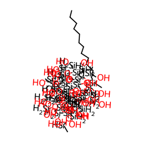 CCCCCCCCCCCC[Si](C)(O)[Si](O[SiH2]O)(O[Si]([Si](O[SiH2]O)([SiH2]O)[SiH2]O)([Si](O[Si](C)(C)O[Si](C)(C)C)(O[Si](O[Si](O[SiH](C)O)([SiH2]O)[SiH2]O)([Si](O[SiH2]O)([SiH2]O)[SiH2]O)[Si](O[SiH2]O)([SiH2]O)[SiH2]O)[Si](O[Si](O[SiH2]O)([SiH2]O)[SiH2]O)([Si](O[SiH2]O)([SiH2]O)[SiH2]O)[Si](O[SiH2]O)([SiH2]O)[SiH2]O)[Si](O[SiH2]O)([Si](O[SiH2]O)([SiH2]O)[SiH2]O)[Si](C)(O)[SiH](C)C)[SiH2]O